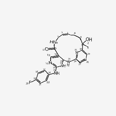 CC1(O)CC/C=C\CNC(=O)C2=CN=C(Nc3ccc(F)cc3)NC2Nc2cccc1n2